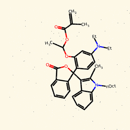 C=C(C)C(=O)OC(C)Oc1cc(N(CC)CC)ccc1C1(c2c(C)n(CCCCCCCC)c3ccccc23)OC(=O)c2ccccc21